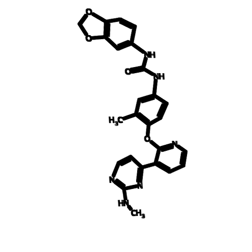 CNc1nccc(-c2cccnc2Oc2ccc(NC(=O)Nc3ccc4c(c3)OCO4)cc2C)n1